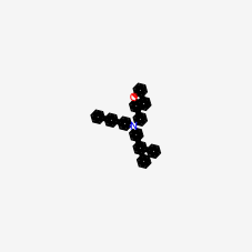 c1ccc(-c2ccc(-c3ccc(N(c4ccc(-c5ccc(-c6ccccc6)c(-c6ccccc6)c5)cc4)c4cccc(-c5ccc6c7c(cccc57)-c5ccccc5O6)c4)cc3)cc2)cc1